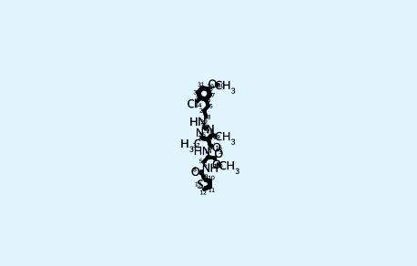 COC(=O)C(CNC(=O)c1cccs1)NC(=O)c1c(C)nc(NCCCc2cc(OC)ccc2Cl)nc1C